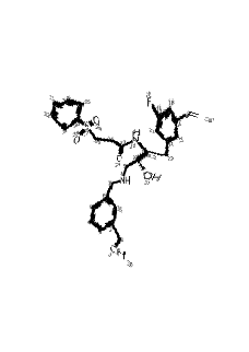 CCc1cccc(CNC[C@H](O)[C@H](Cc2cc(F)cc(F)c2)NC(=O)CCS(=O)(=O)c2ccccc2)c1